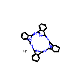 [H+].c1ccc2c(c1)-c1nc-2nc2[nH]c(nc3nc(nc4[nH]c(n1)c1ccccc41)-c1ccccc1-3)c1ccccc21